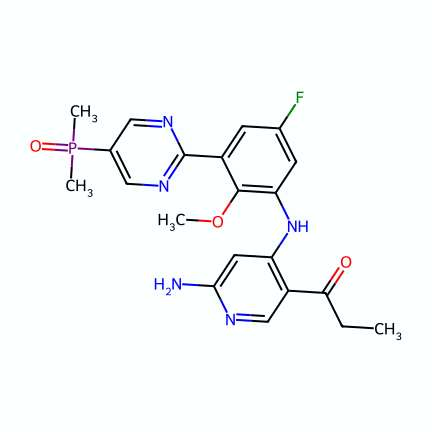 CCC(=O)c1cnc(N)cc1Nc1cc(F)cc(-c2ncc(P(C)(C)=O)cn2)c1OC